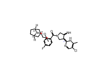 CCCCN1[C@@H]2CC[C@H]1C[C@@H](Oc1cc(F)ccc1C(=O)N1CC(=N)/C(=C3/N=CC(Cl)=C(C)N3)C1)C2